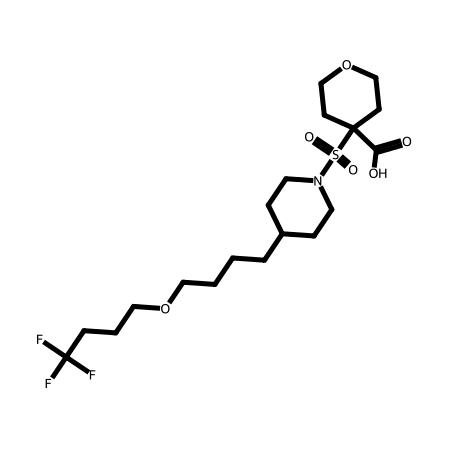 O=C(O)C1(S(=O)(=O)N2CCC(CCCCOCCCC(F)(F)F)CC2)CCOCC1